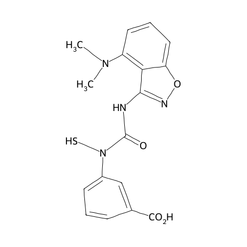 CN(C)c1cccc2onc(NC(=O)N(S)c3cccc(C(=O)O)c3)c12